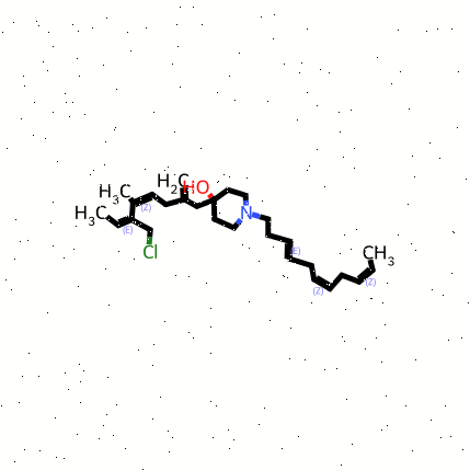 C=C(C/C=C(C)\C(=C/C)CCl)CC1(O)CCN(CC/C=C/C/C=C\C/C=C\C)CC1